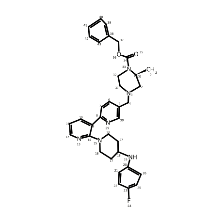 C[C@H]1CN(Cc2ccc(-c3cccnc3N3CCC(Nc4ccc(F)cc4)CC3)nc2)CCN1C(=O)OCc1ccccc1